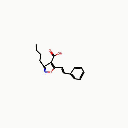 CCCCc1noc(/C=C/c2ccccc2)c1C(=O)O